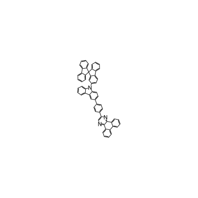 c1ccc2c(c1)-c1ccccc1C21c2ccccc2-c2ccc(-n3c4ccccc4c4cc(-c5ccc(-c6cnc7c8ccccc8c8ccccc8c7n6)cc5)ccc43)cc21